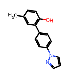 Cc1ccc(O)c(-c2ccc(-n3cccn3)cc2)c1